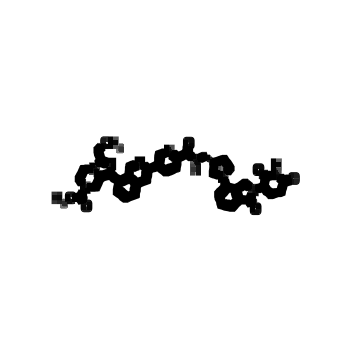 CCc1nc(-c2cccc3cc(-c4ccc(C(=O)NC[C@@H]5CCN(c6cccc7c6CN(C6CCC(=O)NC6=O)C7=O)C5)nc4)ncc23)c2n1CCN(C(C)=O)C2